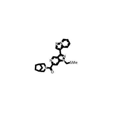 CSCn1nc(-c2cnn3ccccc23)c2cnc(C(=O)N3CC4CCC(C4)C3)cc21